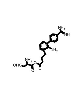 N=C(N)c1ccc(-c2cccc(CCCC(=O)OC(=O)C(N)CC=O)c2N)cc1